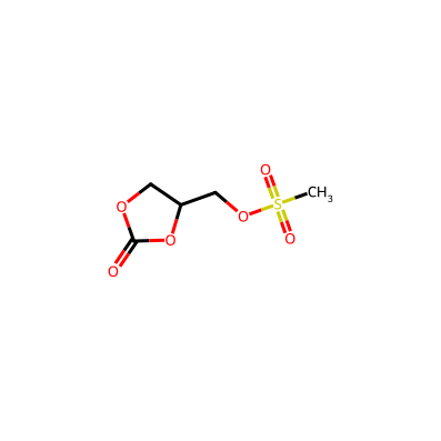 CS(=O)(=O)OCC1COC(=O)O1